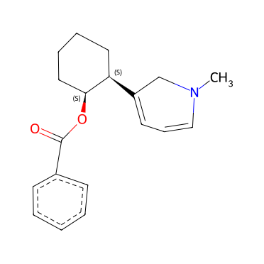 CN1C=CC=C([C@@H]2CCCC[C@@H]2OC(=O)c2ccccc2)C1